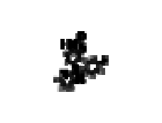 O=c1[nH]c2ccc(-n3c(-c4ccc(F)cc4)nc4cccnc43)cc2s1